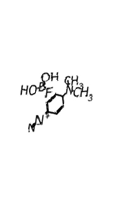 CN(C)C1C=CC(=[N+]=[N-])C=C1.OB(O)F